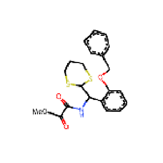 COC(=O)C(=O)NC(c1ccccc1OCc1ccccc1)C1SCCCS1